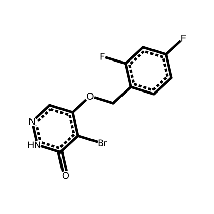 O=c1[nH]ncc(OCc2ccc(F)cc2F)c1Br